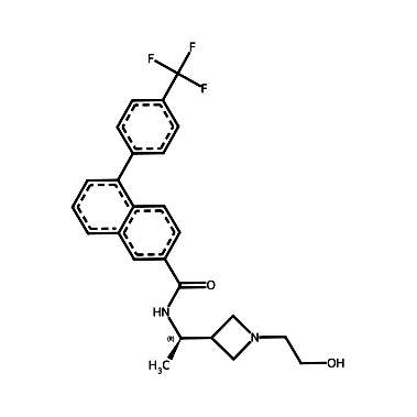 C[C@@H](NC(=O)c1ccc2c(-c3ccc(C(F)(F)F)cc3)cccc2c1)C1CN(CCO)C1